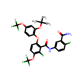 BC(B)(B)Oc1cc(OC(F)(F)F)ccc1Oc1ccc(OC(F)(F)F)c(F)c1C(=O)Nc1ccc(F)c(C(N)=O)c1